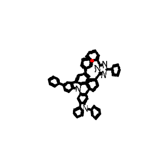 c1ccc(-c2ccc3c(c2)c2cc(-c4ccccc4)ccc2n3-c2cc3c4ccccc4n(-c4ccccc4)c3cc2-c2ccc(-c3nc(-c4ccccc4)nc(-c4ccccc4)n3)cc2)cc1